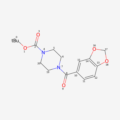 CC(C)(C)OC(=O)N1CCN(C(=O)c2ccc3c(c2)OCO3)CC1